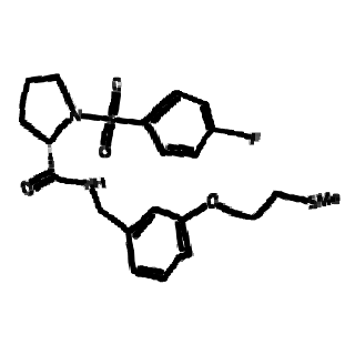 CSCCOc1cccc(CNC(=O)[C@@H]2CCCN2S(=O)(=O)c2ccc(F)cc2)c1